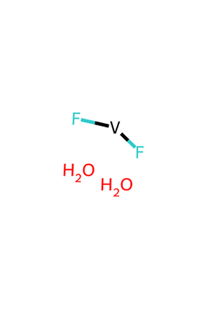 O.O.[F][V][F]